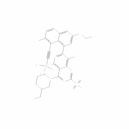 COCOc1cc(-c2nc(C)c3c(N4CCCC(CO)C4)nc(S(C)(=O)=O)nc3c2F)c2c(C#C[Si](C(C)C)(C(C)C)C(C)C)c(F)ccc2c1